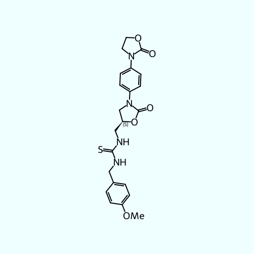 COc1ccc(CNC(=S)NC[C@H]2CN(c3ccc(N4CCOC4=O)cc3)C(=O)O2)cc1